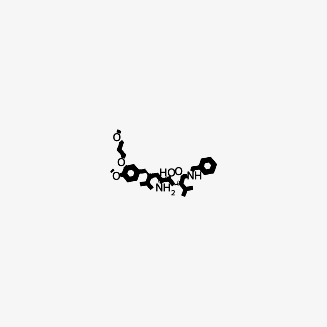 COCCCOc1cc(C[C@@H](C[C@H](N)[C@@H](O)C[C@H](C(=O)NCc2ccccc2)C(C)C)C(C)C)ccc1OC